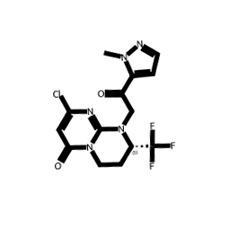 Cn1nccc1C(=O)CN1c2nc(Cl)cc(=O)n2CC[C@H]1C(F)(F)F